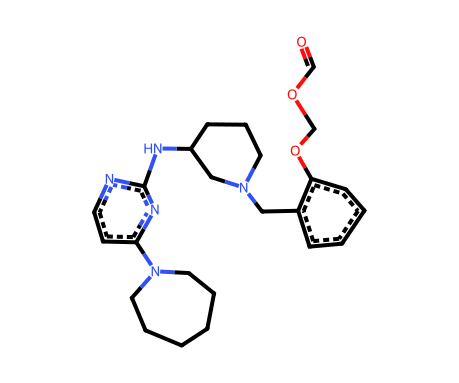 O=COCOc1ccccc1CN1CCCC(Nc2nccc(N3CCCCCC3)n2)C1